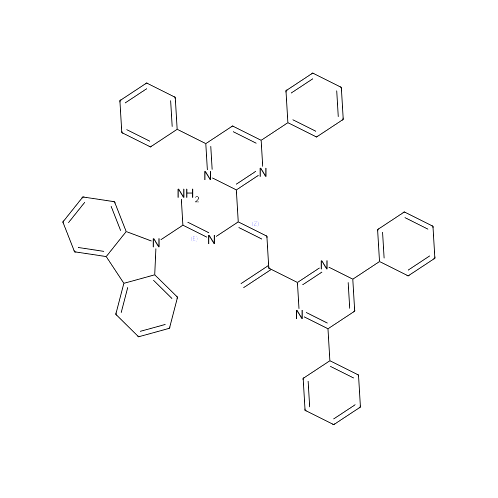 C=C(/C=C(\N=C(/N)n1c2ccccc2c2ccccc21)c1nc(-c2ccccc2)cc(-c2ccccc2)n1)c1nc(-c2ccccc2)cc(-c2ccccc2)n1